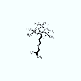 C=C(C)COCCC[Si](O[Si](C)(C)C)(O[Si](C)(C)C)O[Si](C)(C)C